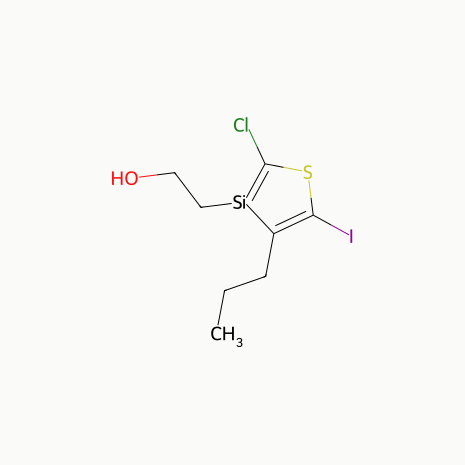 CCCc1c(I)sc(Cl)[si]1CCO